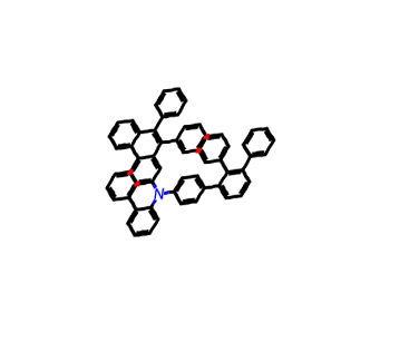 c1ccc(-c2ccccc2N(c2ccc(-c3cccc(-c4ccccc4)c3-c3ccccc3)cc2)c2ccc3c(c2)c(-c2ccccc2)c(-c2ccccc2)c2ccccc23)cc1